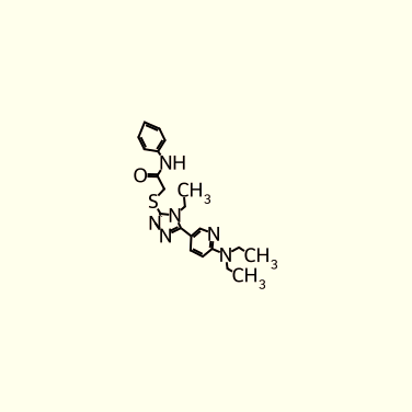 CCN(CC)c1ccc(-c2nnc(SCC(=O)Nc3ccccc3)n2CC)cn1